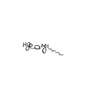 CCCCCCCCCC(=O)Nc1ccc(CC(=O)OO)cc1